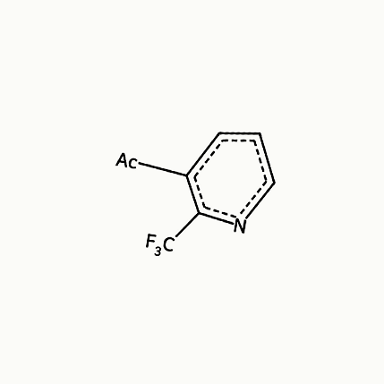 CC(=O)c1cccnc1C(F)(F)F